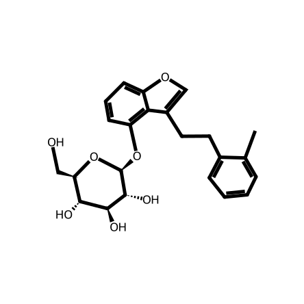 Cc1ccccc1CCc1coc2cccc(O[C@@H]3O[C@H](CO)[C@@H](O)[C@H](O)[C@H]3O)c12